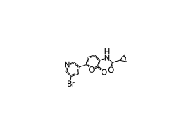 O=C(Nc1ccc(-c2cncc(Br)c2)oc1=O)C1CC1